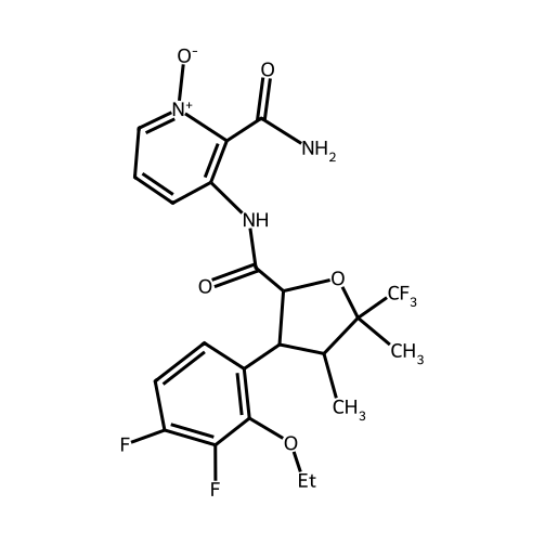 CCOc1c(C2C(C(=O)Nc3ccc[n+]([O-])c3C(N)=O)OC(C)(C(F)(F)F)C2C)ccc(F)c1F